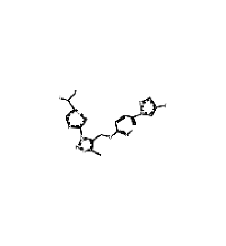 C=C(/C=C\C(=N/C)OCc1c(C)nnn1-c1ccc(C(F)F)cn1)n1cc(F)cn1